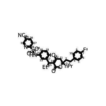 CCCC1(CCc2ccc(F)cc2)CC(O)=C(C(CC)c2cccc(NS(=O)(=O)c3ccc(C#N)cn3)c2)C(=O)O1